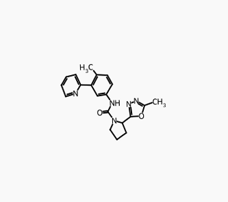 Cc1nnc(C2CCCN2C(=O)Nc2ccc(C)c(-c3ccccn3)c2)o1